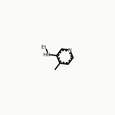 CCNc1cnccc1C